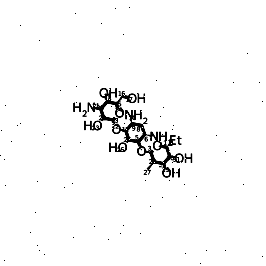 CC[C@H]1O[C@H](OC2[C@@H](N)C[C@@H](N)[C@H](O[C@H]3O[C@H](CO)[C@@H](O)[C@H](N)[C@H]3O)[C@H]2O)[C@H](C)[C@@H](O)[C@@H]1O